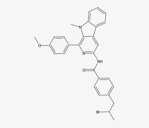 COc1ccc(-c2nc(NC(=O)c3ccc(CC(C)Br)cc3)cc3c4ccccc4n(C)c23)cc1